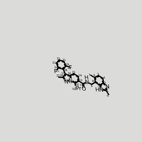 Cc1nc2ccc(C)c(CNC(=O)c3ccc4c(-c5c(F)cccc5F)c(C)nn4c3C(C)C)c2[nH]1